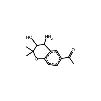 CC(=O)c1ccc2c(c1)C(N)C(O)C(C)(C)O2